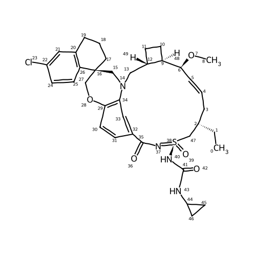 CC[C@H]1C/C=C/[C@H](OC)[C@@H]2CC[C@H]2CN2C[C@@]3(CCCc4cc(Cl)ccc43)COc3ccc(cc32)C(=O)N=[S@](=O)(NC(=O)NC2CC2)C1